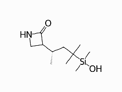 C[C@@H](CC(C)(C)[Si](C)(C)O)C1CNC1=O